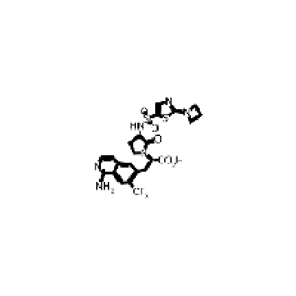 Nc1nccc2cc(C[C@H](C(=O)O)N3CC[C@H](NS(=O)(=O)c4cnc(N5CCC5)s4)C3=O)c(C(F)(F)F)cc12